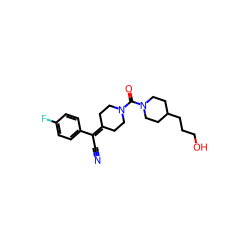 N#CC(=C1CCN(C(=O)N2CCC(CCCO)CC2)CC1)c1ccc(F)cc1